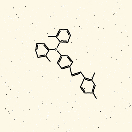 Cc1ccc(/C=C/c2ccc(N(c3ccccc3C)c3ccccc3C)cc2)c(C)c1